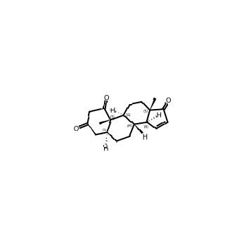 C[C@]12C(=O)CC(=O)C[C@@H]1CC[C@@H]1[C@@H]2CC[C@]2(C)C(=O)C=C[C@@H]12